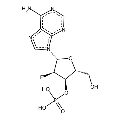 Nc1ncnc2c1ncn2[C@@H]1O[C@H](CO)[C@@H](OP(=O)(O)O)[C@H]1F